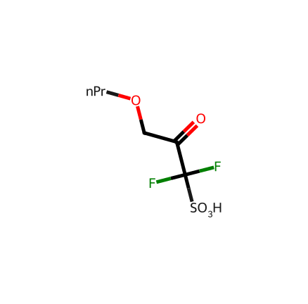 CCCOCC(=O)C(F)(F)S(=O)(=O)O